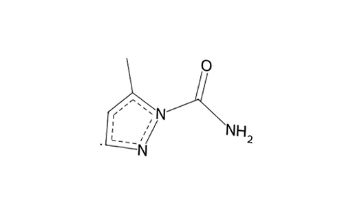 Cc1c[c]nn1C(N)=O